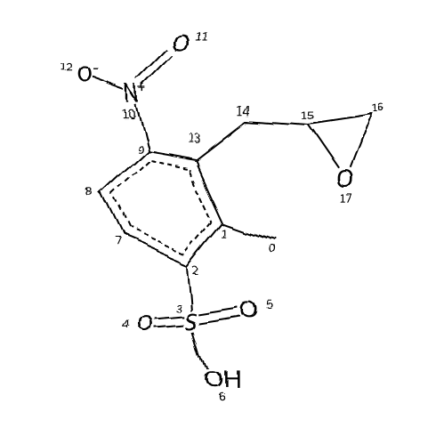 Cc1c(S(=O)(=O)O)ccc([N+](=O)[O-])c1CC1CO1